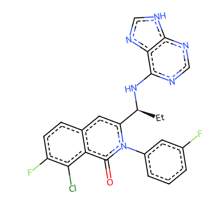 CC[C@H](Nc1ncnc2[nH]cnc12)c1cc2ccc(F)c(Cl)c2c(=O)n1-c1cccc(F)c1